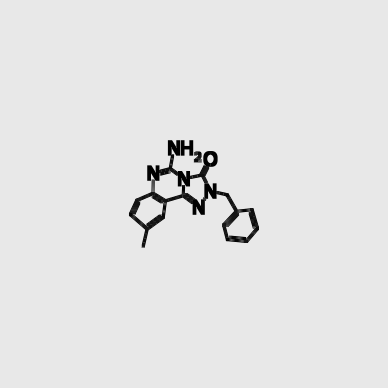 Cc1ccc2nc(N)n3c(=O)n(Cc4ccccc4)nc3c2c1